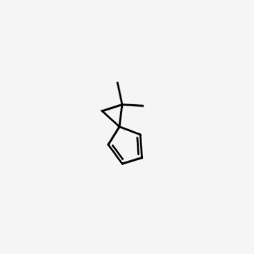 CC1(C)CC12C=CC=C2